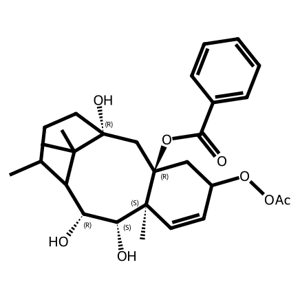 CC(=O)OOC1C=C[C@@]2(C)[C@H](O)[C@H](O)C3C(C)CC[C@@](O)(C[C@]2(OC(=O)c2ccccc2)C1)C3(C)C